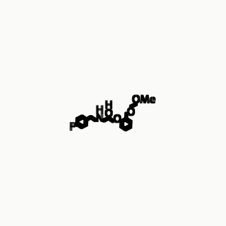 COCCOCc1ccccc1OCC(O)CNCCc1ccc(F)cc1